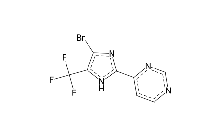 FC(F)(F)c1[nH]c(-c2ccncn2)nc1Br